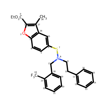 CCOC(=O)c1oc2ccc(SN(CCc3ccccc3)Cc3ccccc3C(F)(F)F)cc2c1C